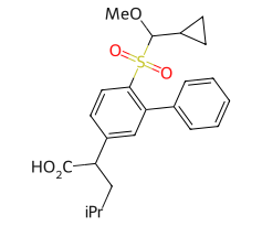 COC(C1CC1)S(=O)(=O)c1ccc(C(CC(C)C)C(=O)O)cc1-c1ccccc1